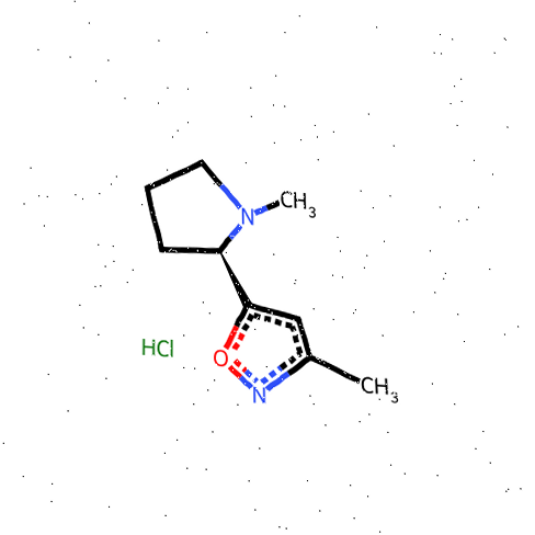 Cc1cc([C@H]2CCCN2C)on1.Cl